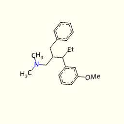 CCC(c1cccc(OC)c1)C(Cc1ccccc1)CN(C)C